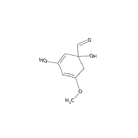 COC1=CC(O)=CC(O)(C=O)C1